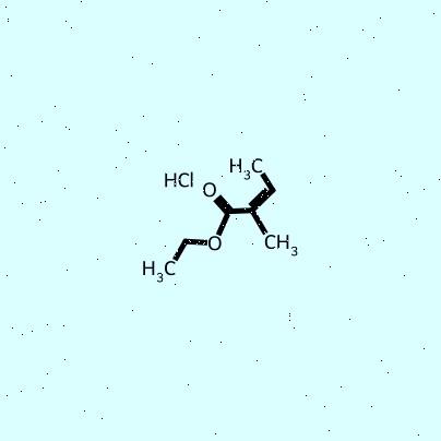 CC=C(C)C(=O)OCC.Cl